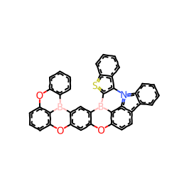 c1ccc2c(c1)Oc1cccc3c1B2c1cc2c(cc1O3)Oc1ccc3c4ccccc4n4c3c1B2c1sc2ccccc2c1-4